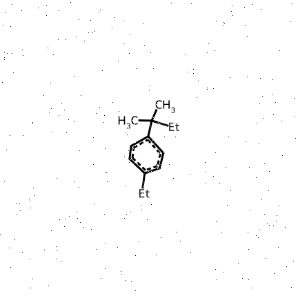 CCc1ccc(C(C)(C)CC)cc1